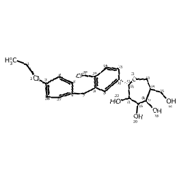 CCOc1ccc(Cc2cc([C@@H]3OCC(CO)[C@@H](O)C(O)C3O)ccc2Cl)cc1